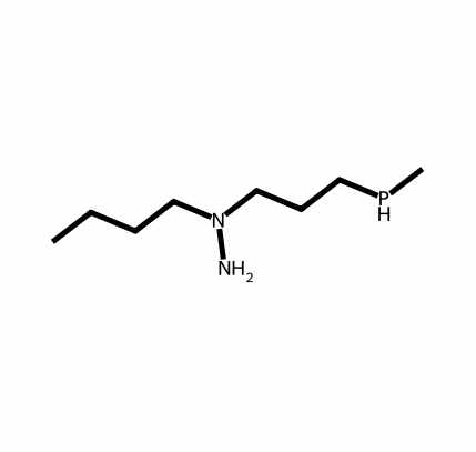 CCCCN(N)CCCPC